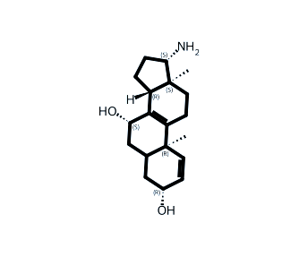 C[C@]12CCC3=C([C@@H](O)CC4C[C@@H](O)C=C[C@]34C)[C@@H]1CC[C@@H]2N